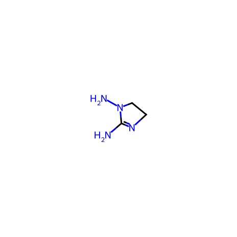 NC1=NCCN1N